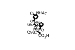 CC(=O)Nc1ccc(C(=O)NC(C(=O)N2C3CCC(C3)C2C(=O)N[C@H](C=O)CC(=O)O)C(C)(C)C)cc1Cl